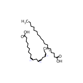 CC/C=C\C/C=C\C/C=C\CCCCCCCC(=O)O.CCCCCCCCCCCCCCCCCC(=O)O